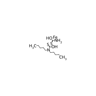 CCCCCN(CCCCC)C(O)=S.NC(O)=S.[Fe]